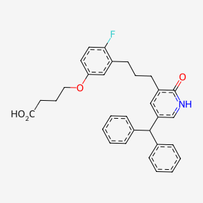 O=C(O)CCCOc1ccc(F)c(CCCc2cc(C(c3ccccc3)c3ccccc3)c[nH]c2=O)c1